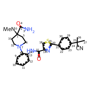 CNC1(C(N)=O)CCN(c2ccccc2NC(=O)c2csc(-c3ccc(C(C)(C)C#N)cc3)n2)CC1